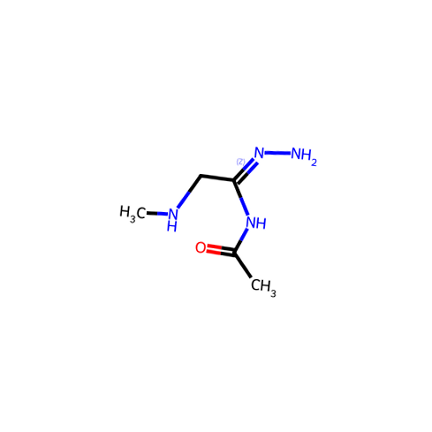 CNC/C(=N/N)NC(C)=O